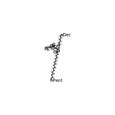 CCCCC/C=C/C/C=C/C/C=C/C/C=C/C/C=C/CCC(=O)O[C@H](CO/C=C/CCCCCCCCCCCCCC)COP(=O)([O-])OCC[N+](C)(C)C